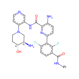 CC(C)NC(=O)c1ccc(F)c(-c2ccc(N)c(C(=O)Nc3cnccc3N3CC[C@@H](O)[C@H](N)C3)n2)c1F